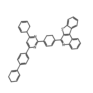 C1=CCC(c2cc(-c3ccc(C4=CCCC=C4)cc3)nc(C3=CC=C(c4nc5ccccc5c5c4sc4ccccc45)CC3)n2)C=C1